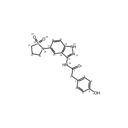 O=C(Cc1ccc(O)cc1)Nc1n[nH]c2ccc(N3CCCS3(=O)=O)cc12